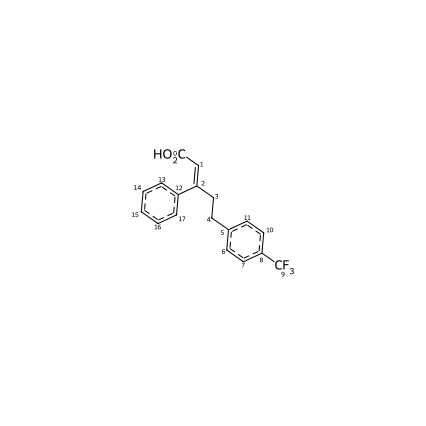 O=C(O)C=C(CCc1ccc(C(F)(F)F)cc1)c1ccccc1